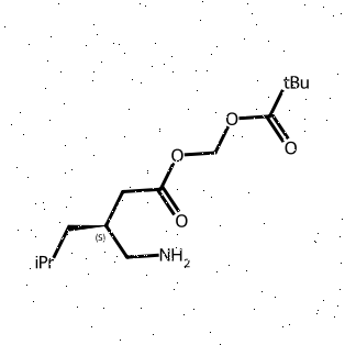 CC(C)C[C@H](CN)CC(=O)OCOC(=O)C(C)(C)C